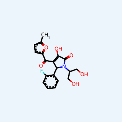 Cc1ccc(C(=O)C2=C(O)C(=O)N(C(CO)CO)C2c2ccccc2F)o1